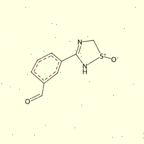 O=Cc1cccc(C2=NC[S+]([O-])N2)c1